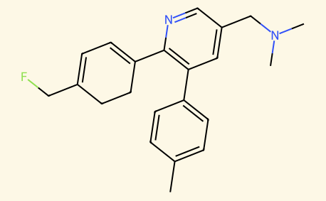 Cc1ccc(-c2cc(CN(C)C)cnc2C2=CC=C(CF)CC2)cc1